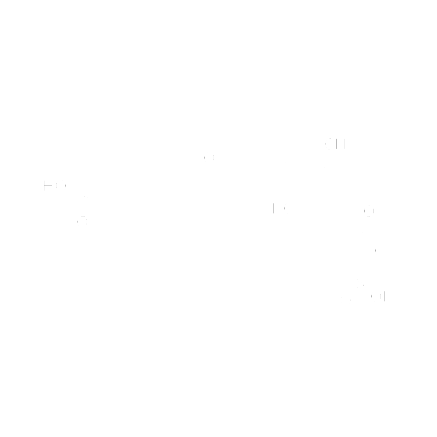 Cc1cc(OC2CCS(O)(O)CC2)cc(C)c1-c1cccc(COc2ccc(CCC(=O)O)cc2)c1